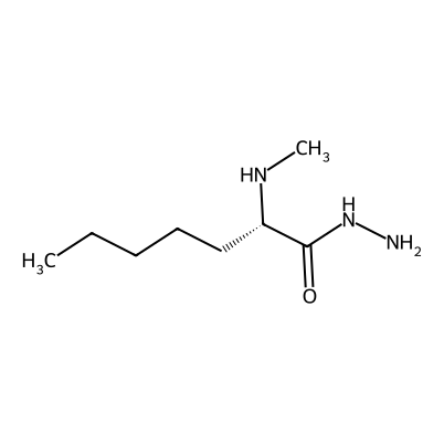 CCCCC[C@H](NC)C(=O)NN